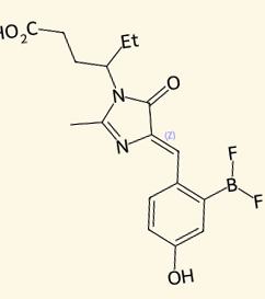 CCC(CCC(=O)O)N1C(=O)/C(=C/c2ccc(O)cc2B(F)F)N=C1C